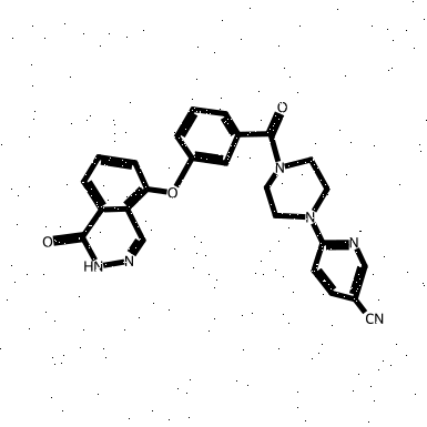 N#Cc1ccc(N2CCN(C(=O)c3cccc(Oc4cccc5c(=O)[nH]ncc45)c3)CC2)nc1